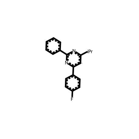 CC(C)c1[c]c(-c2ccc(F)cc2)nc(-c2ccccc2)n1